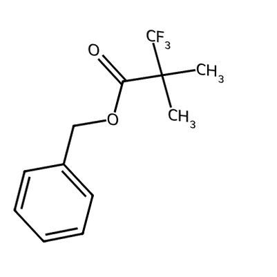 CC(C)(C(=O)OCc1ccccc1)C(F)(F)F